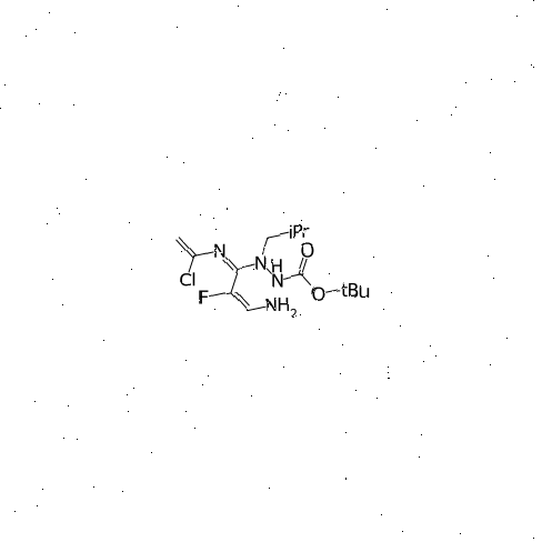 C=C(Cl)/N=C(\C(F)=C/N)N(CC(C)C)NC(=O)OC(C)(C)C